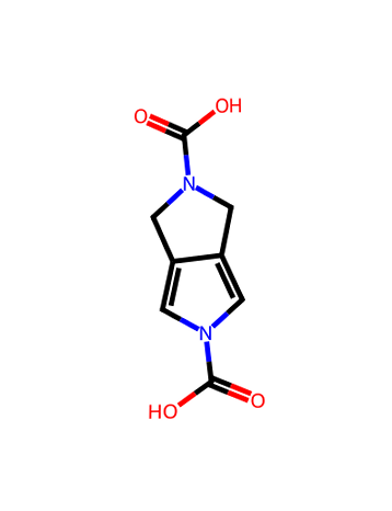 O=C(O)N1Cc2cn(C(=O)O)cc2C1